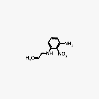 C=C[CH]Nc1cccc(N)c1[N+](=O)[O-]